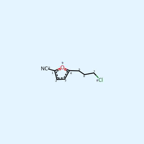 N#Cc1ccc(CCCCl)o1